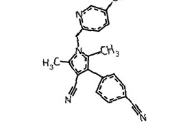 Cc1c(C#N)c(-c2ccc(C#N)cc2)c(C)n1Cc1ccc(O)cn1